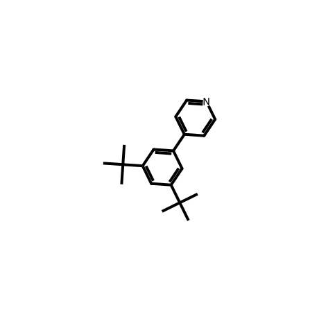 CC(C)(C)c1cc(-c2ccncc2)cc(C(C)(C)C)c1